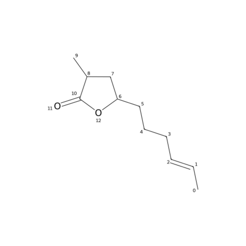 CC=CCCCC1CC(C)C(=O)O1